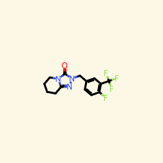 O=c1n(Cc2ccc(F)c(C(F)(F)F)c2)nc2n1CCCC2